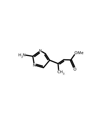 COC(=O)C=C(C)c1cnc(N)nc1